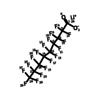 O=C([O-])C(F)(F)C(F)(F)C(F)(F)C(F)(F)C(F)(F)C(F)(F)C(F)(F)C(F)(F)F.[Li+]